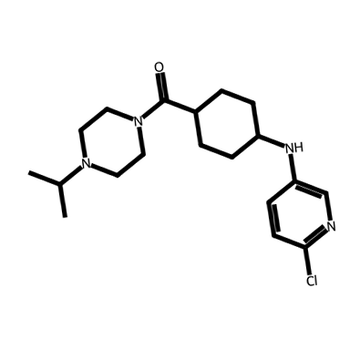 CC(C)N1CCN(C(=O)C2CCC(Nc3ccc(Cl)nc3)CC2)CC1